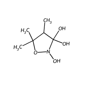 CC1C(C)(C)ON(O)C1(O)O